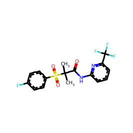 CC(C)(C(=O)Nc1cccc(C(F)(F)F)n1)S(=O)(=O)c1ccc(F)cc1